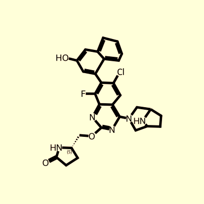 O=C1CC[C@@H](COc2nc(N3CC4CCC(C3)N4)c3cc(Cl)c(-c4cc(O)cc5ccccc45)c(F)c3n2)N1